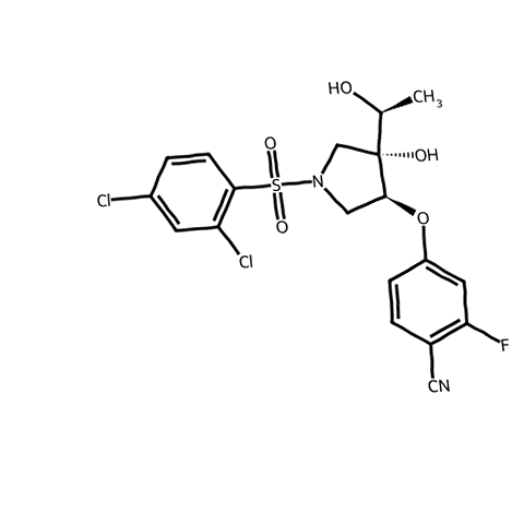 C[C@H](O)[C@]1(O)CN(S(=O)(=O)c2ccc(Cl)cc2Cl)C[C@@H]1Oc1ccc(C#N)c(F)c1